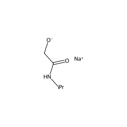 CC(C)NC(=O)C[O-].[Na+]